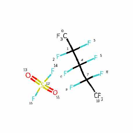 FC(F)(F)C(F)(F)C(F)(F)C(F)(F)C(F)(F)F.O=S(=O)(F)F